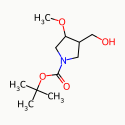 COC1CN(C(=O)OC(C)(C)C)CC1CO